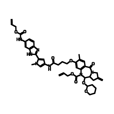 C=CCOC(=O)Nc1ccc2nc(-c3cc(NC(=O)CCCOc4cc5c(cc4C)C(=O)N4CC(=C)CC4C(OC4CCCCO4)N5C(=O)OCC=C)cn3C)[nH]c2c1